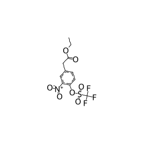 CCOC(=O)Cc1ccc(OS(=O)(=O)C(F)(F)F)c([N+](=O)[O-])c1